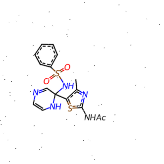 CC(=O)Nc1nc(C)c(C2(NS(=O)(=O)c3ccccc3)C=NC=CN2)s1